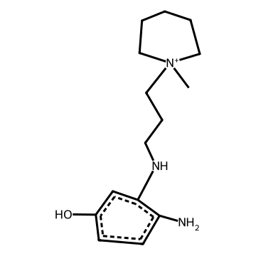 C[N+]1(CCCNc2cc(O)ccc2N)CCCCC1